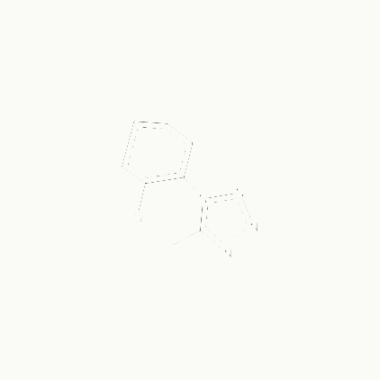 Sc1nnnn1-c1ccccc1Br